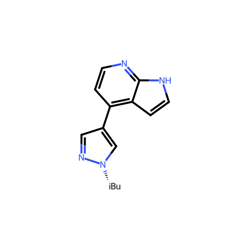 CC[C@@H](C)n1cc(-c2ccnc3[nH]ccc23)cn1